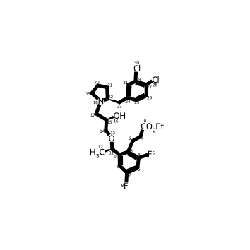 CCOC(=O)CCc1c(F)cc(F)cc1[C@@H](C)OC[C@H](O)CN1CCC[C@H]1Cc1ccc(Cl)c(Cl)c1